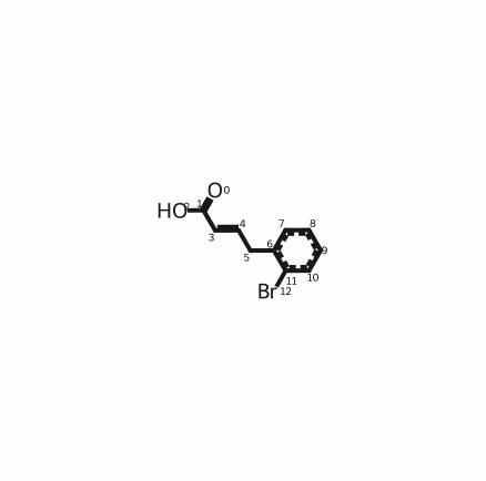 O=C(O)/C=C/Cc1ccccc1Br